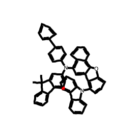 CC1(C)c2ccccc2-c2ccc(N(c3ccc(-c4ccccc4)cc3)c3cc4c(oc5cccc(-n6c7ccccc7c7ccccc76)c54)c4ccccc34)cc21